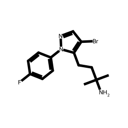 CC(C)(N)CCc1c(Br)cnn1-c1ccc(F)cc1